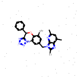 CCCc1cc(Cn2c(CC)nc3c(C)cc(C)nc32)cc(CCC)c1OC(c1ccccc1)c1nnn[nH]1